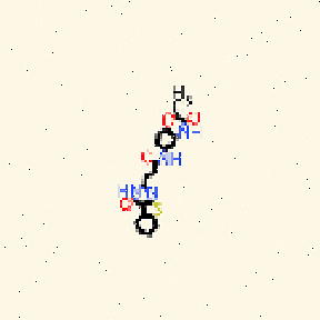 CC1Oc2ccc(NC(=O)CCc3nc4sc5c(c4c(=O)[nH]3)CCCC5)cc2NC1=O